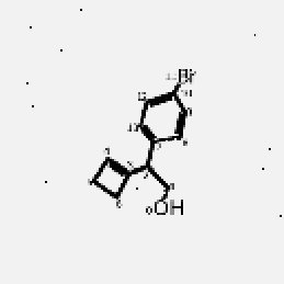 OCC(C1=CCC1)c1ccc(Br)cc1